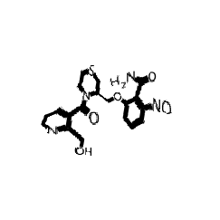 NC(=O)c1c(N=O)cccc1OC[C@@H]1CSCCN1C(=O)C1=CCCN=C1CO